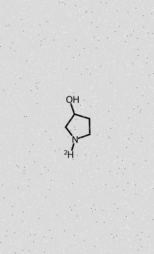 [2H]N1CCC(O)C1